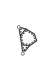 c1cc2oc2c2oc12